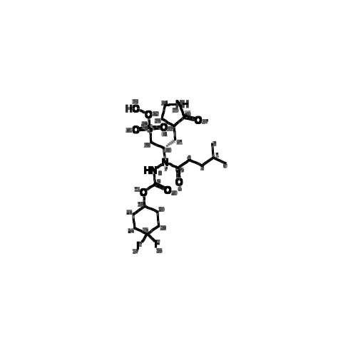 CC(C)CCC(=O)N(NC(=O)OC1CCC(F)(F)CC1)[C@@H](CC1CCNC1=O)CS(=O)(=O)OO